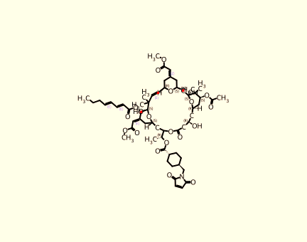 CCC/C=C/C=C/C(=O)O[C@H]1/C(=C/C(=O)OC)C[C@H]2CC([C@@H](C)OC(=O)[C@H]3CC[C@H](CN4C(=O)C=CC4=O)CC3)OC(=O)C[C@H](O)C[C@@H]3C[C@H](OC(C)=O)C(C)(C)[C@](O)(C[C@@H]4C/C(=C/C(=O)OC)C[C@H](/C=C/C(C)(C)[C@]1(O)O2)O4)O3